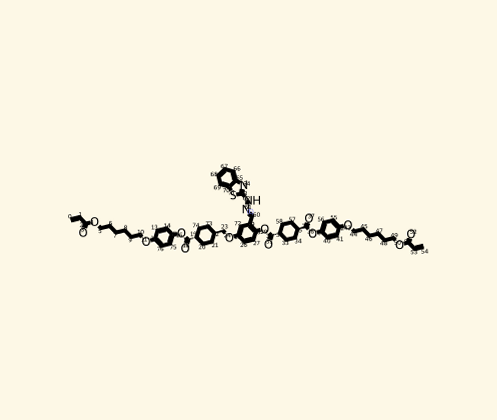 C=CC(=O)OCCCCCCOc1ccc(OC(=O)[C@H]2CC[C@H](COc3ccc(OC(=O)[C@H]4CC[C@H](C(=O)Oc5ccc(OCCCCCCOC(=O)C=C)cc5)CC4)c(/C=N/Nc4nc5ccccc5s4)c3)CC2)cc1